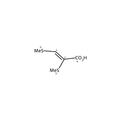 CS/C=C(\SC)C(=O)O